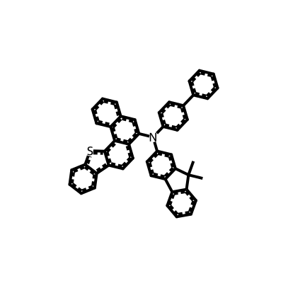 CC1(C)c2ccccc2-c2ccc(N(c3ccc(-c4ccccc4)cc3)c3cc4ccccc4c4c3ccc3c5ccccc5sc34)cc21